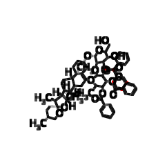 CC1O[C@@H](OC2C(OC(=O)c3ccccc3)[C@H](O)C(CO)O[C@H]2O[C@H]2CC[C@@]3(C)C(=CC[C@H]4[C@@H]5C[C@@H]6O[C@]7(CC[C@@H](C)CO7)[C@@H](C)[C@@H]6[C@@]5(C)CC[C@@H]43)C2)C(OC(=O)c2ccccc2)C(OC(=O)c2ccccc2)[C@H]1OC(=O)c1ccccc1